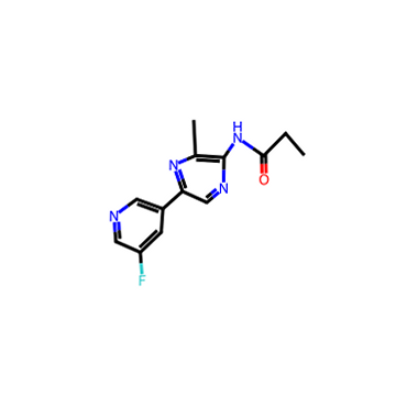 CCC(=O)Nc1ncc(-c2cncc(F)c2)nc1C